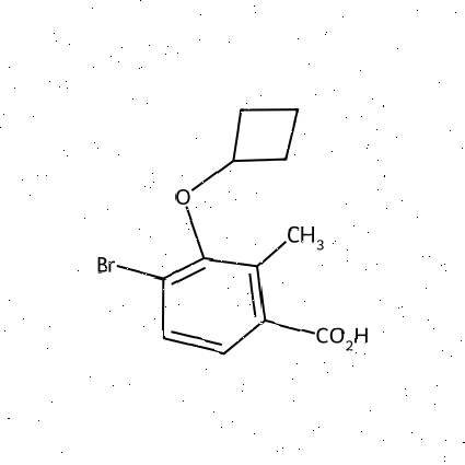 Cc1c(C(=O)O)ccc(Br)c1OC1CCC1